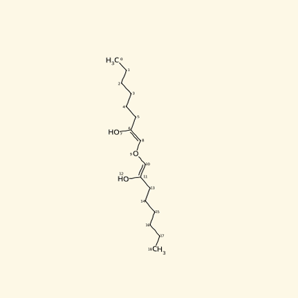 CCCCCCC(O)=COC=C(O)CCCCCC